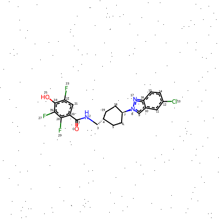 O=C(NC[C@H]1CC[C@H](n2cc3cc(Cl)ccc3n2)CC1)c1cc(F)c(O)c(F)c1F